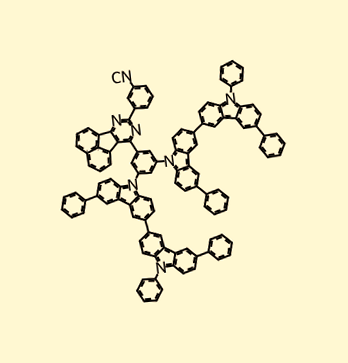 [C-]#[N+]c1cccc(-c2nc(-c3cc(-n4c5ccc(-c6ccccc6)cc5c5cc(-c6ccc7c(c6)c6cc(-c8ccccc8)ccc6n7-c6ccccc6)ccc54)cc(-n4c5ccc(-c6ccccc6)cc5c5cc(-c6ccc7c(c6)c6cc(-c8ccccc8)ccc6n7-c6ccccc6)ccc54)c3)c3c(n2)-c2cccc4cccc-3c24)c1